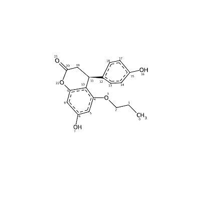 CCCOc1cc(O)cc2c1[C@H](c1ccc(O)cc1)CC(=O)O2